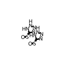 O=S=c1nn[nH][nH]1.O=S=c1nn[nH][nH]1